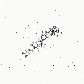 C=N/C(=N\C(=C)NC)Nc1ccc(S(=O)(=O)N(C)C2CCCN(CCCC(F)(F)F)C2)cc1